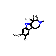 Bc1cc2c3c([nH]c2cc1OC)C(B)(B)CN(C)CC3